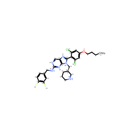 COCCCOc1cc(Cl)c(-c2nc3cnc(NCc4ccc(F)c(F)c4)nc3n2C[C@@H]2CCCNC2)c(Cl)c1